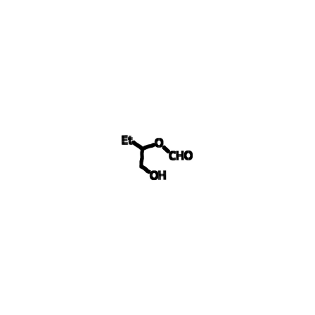 CCC(CO)OC=O